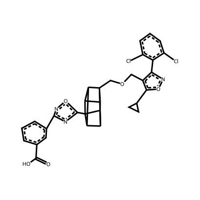 O=C(O)c1cccc(-c2noc(C34C5C6C3C3C4C5C63COCc3c(-c4c(Cl)cccc4Cl)noc3C3CC3)n2)c1